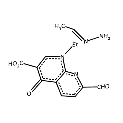 CC=NN.CCn1cc(C(=O)O)c(=O)c2ccc(C=O)nc21